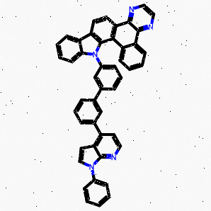 c1ccc(-n2ccc3c(-c4cccc(-c5cccc(-n6c7ccccc7c7ccc8c9nccnc9c9ccccc9c8c76)c5)c4)ccnc32)cc1